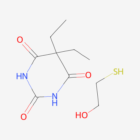 CCC1(CC)C(=O)NC(=O)NC1=O.OCCS